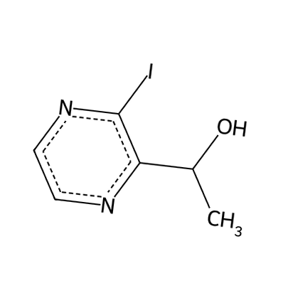 CC(O)c1nccnc1I